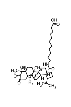 C=C(C)[C@@H]1CC[C@]2(C(=O)NCCCCCCCCCCC(=O)O)CC[C@]3(C)[C@H](CCC4[C@@]5(C)CC(=O)C(=O)C(C)(C)[C@@H]5CC[C@]43C)[C@@H]12